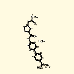 COC(=O)CC1CCN(C(=O)Cc2ccc(-c3ccc(C(=N)N)cc3)cc2)C1.Cl